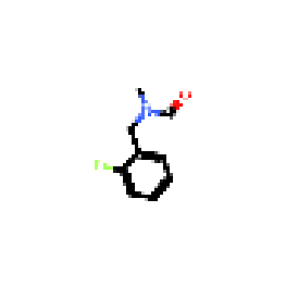 CN([C]=O)Cc1ccccc1F